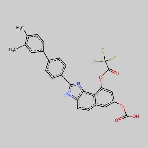 Cc1ccc(-c2ccc(-c3nc4c(ccc5cc(OC(=O)O)cc(OC(=O)C(F)(F)F)c54)[nH]3)cc2)cc1C